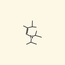 C/C(=C/N(C(C)C)C(C)C)C(C)C